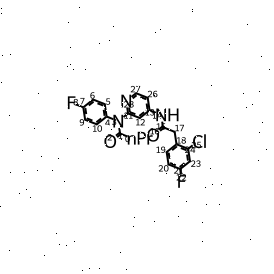 CCCC(=O)N(c1ccc(F)cc1)c1cc(NC(=O)Cc2ccc(F)cc2Cl)ccn1